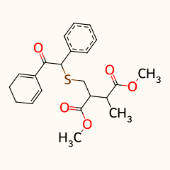 COC(=O)C(C)C(CSC(C(=O)C1=CCCC=C1)c1ccccc1)C(=O)OC